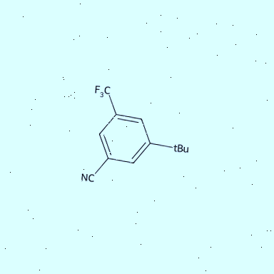 CC(C)(C)c1cc(C#N)cc(C(F)(F)F)c1